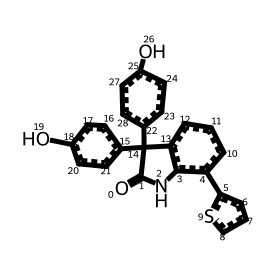 O=C1Nc2c(-c3cccs3)cccc2C1(c1ccc(O)cc1)c1ccc(O)cc1